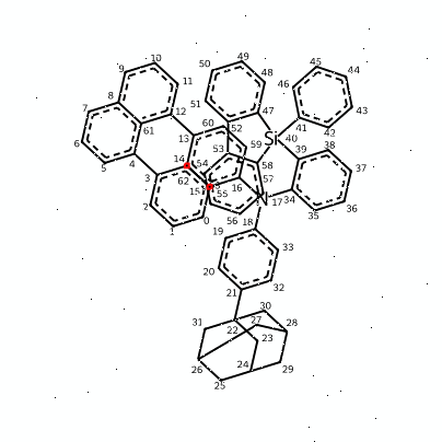 c1ccc(-c2cccc3cccc(-c4ccc(N(c5ccc(C67CC8CC(CC(C8)C6)C7)cc5)c5ccccc5[Si]5(c6ccccc6)c6ccccc6-c6ccccc65)cc4)c23)cc1